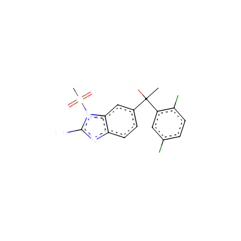 CC(C)S(=O)(=O)n1c(N)nc2ccc(C(C)(O)c3cc(F)ccc3F)cc21